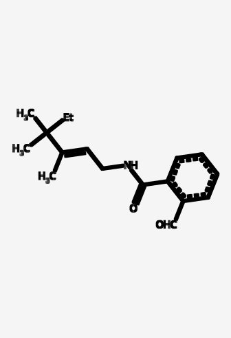 CCC(C)(C)/C(C)=C/CNC(=O)c1ccccc1C=O